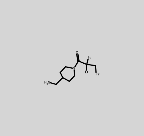 CCC(CC)(CC(C)C)C(=O)N1CCC(CN)CC1